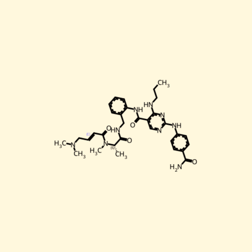 CCCNc1nc(Nc2ccc(C(N)=O)cc2)ncc1C(=O)Nc1ccccc1CNC(=O)[C@H](C)N(C)C(=O)/C=C/CN(C)C